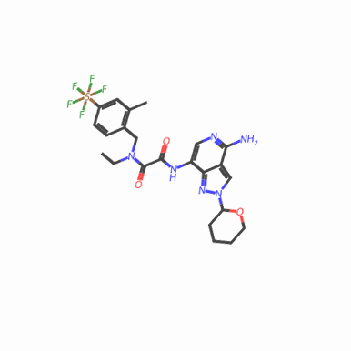 CCN(Cc1ccc(S(F)(F)(F)(F)F)cc1C)C(=O)C(=O)Nc1cnc(N)c2cn(C3CCCCO3)nc12